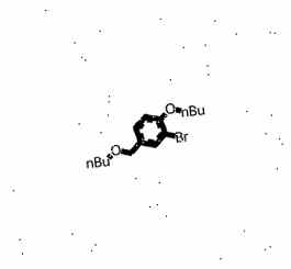 CCCCOCc1ccc(OCCCC)c(Br)c1